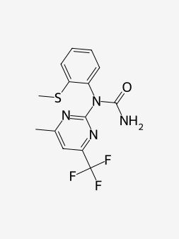 CSc1ccccc1N(C(N)=O)c1nc(C)cc(C(F)(F)F)n1